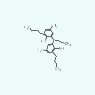 CCCCc1cc(C)cc(P(CCC)c2cc(C)cc(CCCC)c2O)c1O